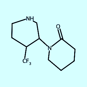 O=C1CCCCN1C1CNCCC1C(F)(F)F